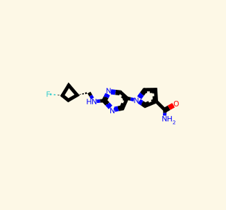 NC(=O)c1ccn(-c2cnc(NC[C@H]3C[C@@H](F)C3)nc2)c1